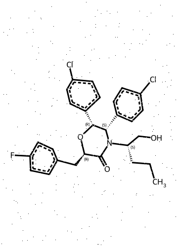 CCC[C@@H](CO)N1C(=O)[C@@H](Cc2ccc(F)cc2)O[C@H](c2ccc(Cl)cc2)[C@@H]1c1ccc(Cl)cc1